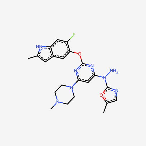 Cc1cc2cc(Oc3nc(N4CCN(C)CC4)cc(N(N)c4ncc(C)o4)n3)c(F)cc2[nH]1